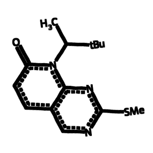 CSc1ncc2ccc(=O)n(C(C)C(C)(C)C)c2n1